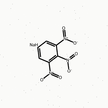 O=[N+]([O-])c1cccc([N+](=O)[O-])c1[N+](=O)[O-].[NaH]